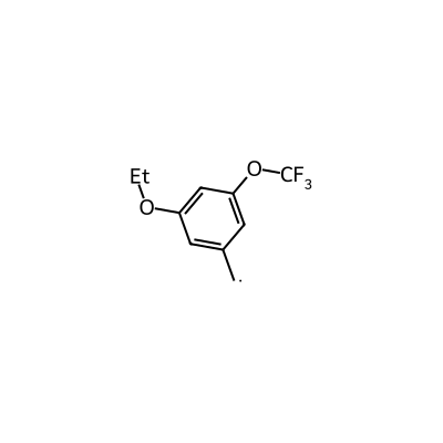 [CH2]c1cc(OCC)cc(OC(F)(F)F)c1